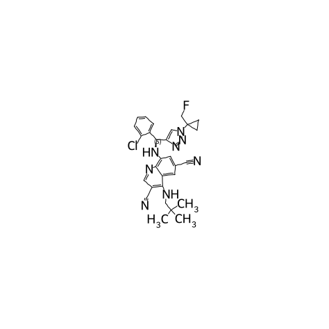 CC(C)(C)CNc1c(C#N)cnc2c(N[C@H](c3cn(C4(CF)CC4)nn3)c3ccccc3Cl)cc(C#N)cc12